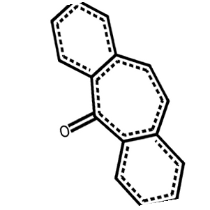 O=c1c2ccccc2ccc2ccccc12